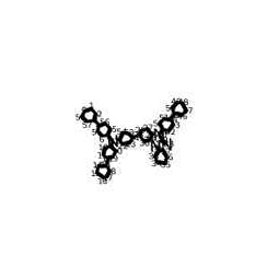 c1ccc(-c2ccc(N(c3ccc(-c4ccccc4)cc3)c3ccc(-c4ccc5c(c4)n4c6ccccc6nc4n5-c4ccc(-c5ccccc5)cc4)cc3)cc2)cc1